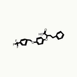 O=C(O)C(CCc1ccccc1)Oc1ccc(OCc2ccc(C(F)(F)F)cc2)cc1